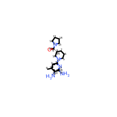 Cc1cc(N2CCC[C@@H](C(=O)N3CCCC3)C2)nc(N)c1N